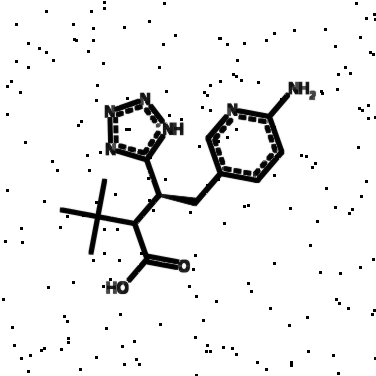 CC(C)(C)C(C(=O)O)[C@H](Cc1ccc(N)nc1)c1nnn[nH]1